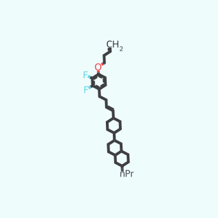 C=CCCOc1ccc(CC/C=C/C2CCC(C3CCC4CC(CCC)CCC4C3)CC2)c(F)c1F